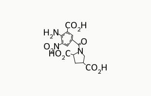 Nc1c(C(=O)O)cc(C(=O)N2CC(C(=O)O)CC2C(=O)O)cc1[N+](=O)[O-]